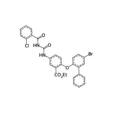 CCOC(=O)c1cc(NC(=O)NC(=O)c2ccccc2Cl)ccc1Oc1ccc(Br)cc1-c1ccccc1